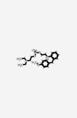 CCP(CC)CCO[PH](=O)OCCPc1ccccc1Cc1ccc(OC)cc1